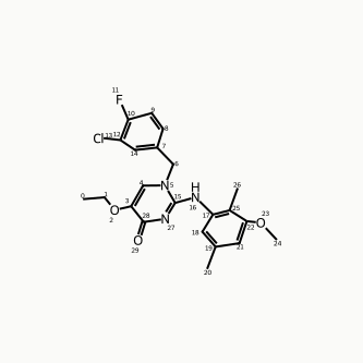 CCOc1cn(Cc2ccc(F)c(Cl)c2)c(Nc2cc(C)cc(OC)c2C)nc1=O